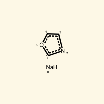 [NaH].[c]1ncco1